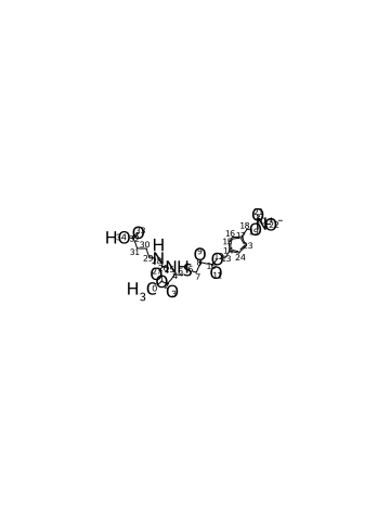 COC(=O)[C@H](CSCC(=O)C(=O)OCc1ccc(CO[N+](=O)[O-])cc1)NC(=O)NCCCC(=O)O